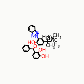 CC(C)(C)CC(C)(C)c1ccc(O)c(-n2nc3ccccc3n2)c1.O=C(c1ccccc1)c1cccc(O)c1O